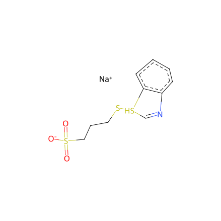 O=S(=O)([O-])CCCS[SH]1C=Nc2ccccc21.[Na+]